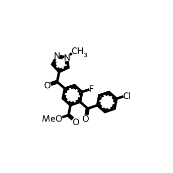 COC(=O)c1cc(C(=O)c2cnn(C)c2)cc(F)c1C(=O)c1ccc(Cl)cc1